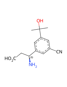 CC(C)(O)c1cc(C#N)cc([C@@H](N)CC(=O)O)c1